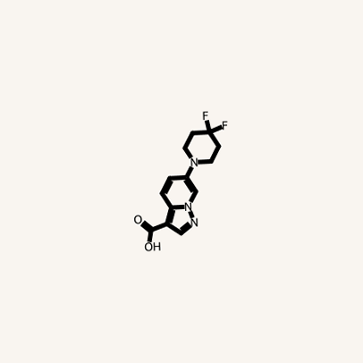 O=C(O)c1cnn2cc(N3CCC(F)(F)CC3)ccc12